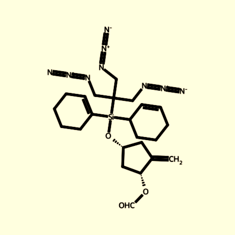 C=C1C[C@@H](O[Si](C2=CCCCC2)(C2C=CCCC2)C(CN=[N+]=[N-])(CN=[N+]=[N-])CN=[N+]=[N-])C[C@H]1OC=O